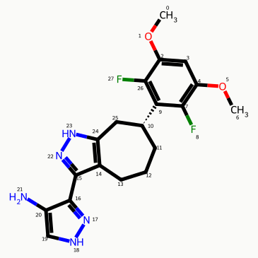 COc1cc(OC)c(F)c([C@@H]2CCCc3c(-c4n[nH]cc4N)n[nH]c3C2)c1F